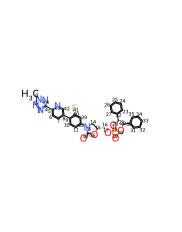 Cn1nnc(-c2ccc(-c3ccc(N4C[C@H](COP(=O)(OCc5ccccc5)OCc5ccccc5)OC4=O)cc3F)cn2)n1